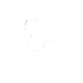 OCc1cc(CO)c2ccccc2n1